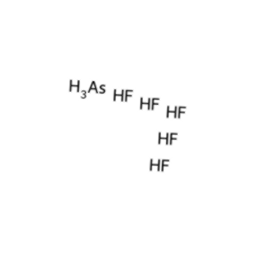 F.F.F.F.F.[AsH3]